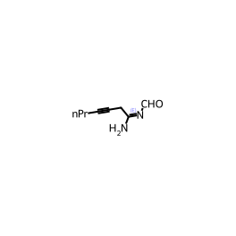 CCCC#CC/C(N)=N\C=O